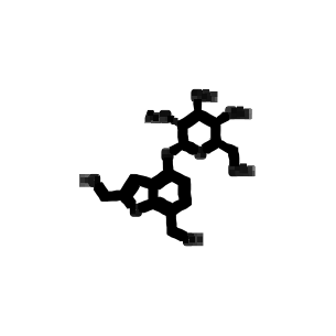 CC(=O)OC[C@H]1O[C@@H](Oc2ccc(CO)c3oc(CO)cc23)[C@H](OC(C)=O)[C@@H](OC(C)=O)[C@H]1OC(C)=O